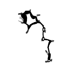 C#CCOOc1ccccc1